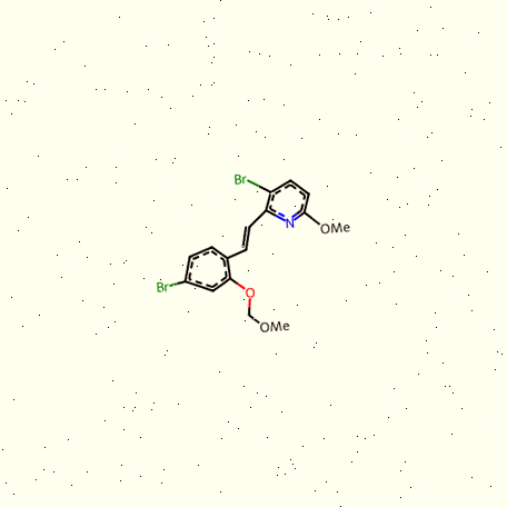 COCOc1cc(Br)ccc1/C=C/c1nc(OC)ccc1Br